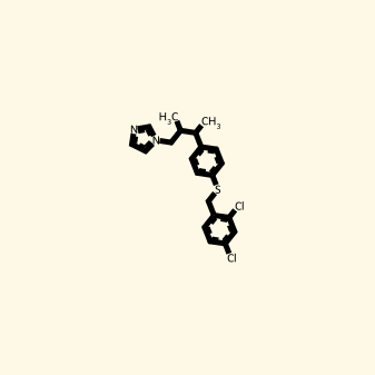 CC(Cn1ccnc1)C(C)c1ccc(SCc2ccc(Cl)cc2Cl)cc1